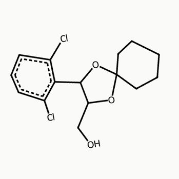 OCC1OC2(CCCCC2)OC1c1c(Cl)cccc1Cl